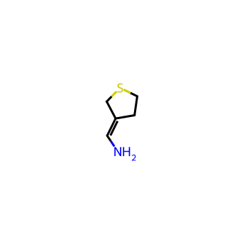 N/C=C1\CCSC1